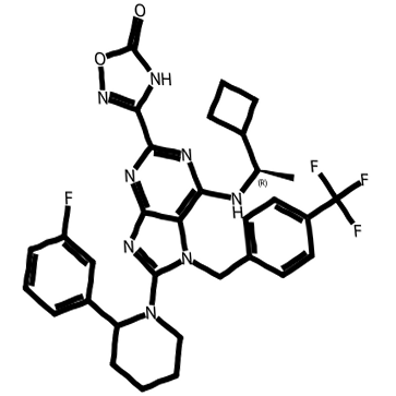 C[C@@H](Nc1nc(-c2noc(=O)[nH]2)nc2nc(N3CCCCC3c3cccc(F)c3)n(Cc3ccc(C(F)(F)F)cc3)c12)C1CCC1